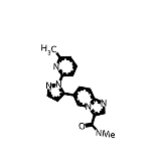 CNC(=O)c1cnc2ccc(-c3ccnn3-c3cccc(C)n3)cn12